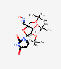 CC(C)(C)[Si](C)(C)OC[C@@]1(/C=N/O)O[C@@H](n2ccc(=O)[nH]c2=O)[C@H](O[Si](C)(C)C(C)(C)C)[C@@H]1O[Si](C)(C)C(C)(C)C